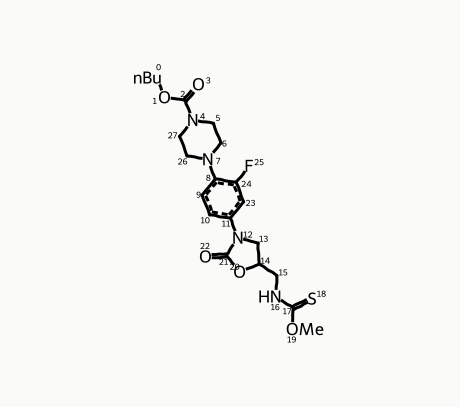 CCCCOC(=O)N1CCN(c2ccc(N3CC(CNC(=S)OC)OC3=O)cc2F)CC1